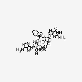 Nc1nc2c(ncn2[C@@H]2O[C@@H]3COP(=O)(O)OC4C(O)[C@H](n5cnc6c(N)ncnc65)O[C@@H]4COP(=O)(N4CCOCC4)OC2C3O)c(=O)[nH]1